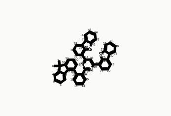 CC1(C)c2ccccc2-c2c(-c3ccccc3-c3nc(-c4cccc5c4sc4ccccc45)cc(-c4cccc5c4sc4ccccc45)n3)cccc21